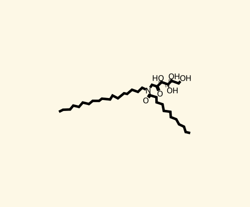 CCCCCCCCCCCCCCCCCCN(CC(=O)[C@@H](O)[C@@H](O)[C@H](O)CO)C(=O)CCCCCCCCCCC